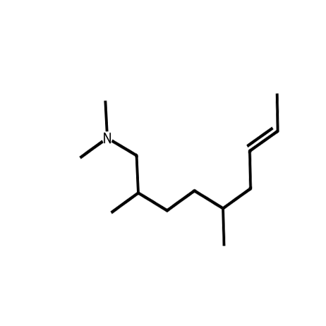 C/C=C/CC(C)CCC(C)CN(C)C